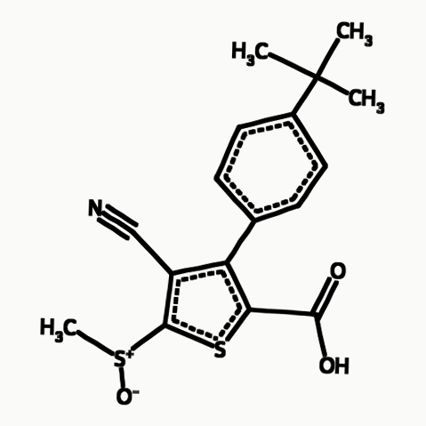 C[S+]([O-])c1sc(C(=O)O)c(-c2ccc(C(C)(C)C)cc2)c1C#N